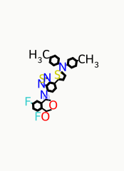 Cc1ccc(N(c2ccc(C)cc2)c2ccc(-c3ccc(/N=C4\COCC(=O)c5c(F)cc(F)cc54)c4nsnc34)s2)cc1